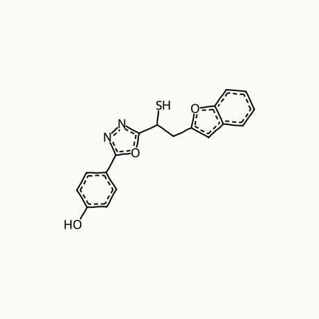 Oc1ccc(-c2nnc(C(S)Cc3cc4ccccc4o3)o2)cc1